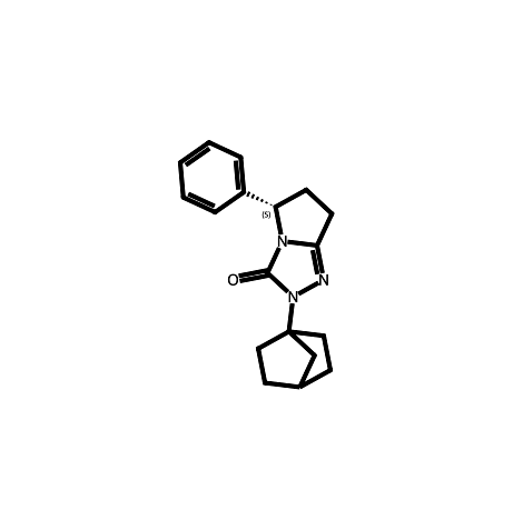 O=c1n(C23CCC(CC2)C3)nc2n1[C@H](c1ccccc1)CC2